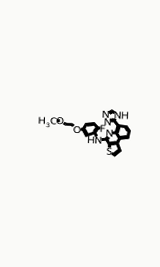 COCCOc1ccc(F)c(Nc2nc3c(-c4nnc[nH]4)cccc3c3ccsc23)c1